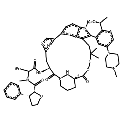 CCn1c(-c2cc(N3CCN(C)CC3)cnc2[C@H](C)OC)c2c3cc(ccc31)-c1csc(n1)C[C@H](NC(=O)C(C(C)C)N(C)C(=O)[C@@H]1OCC[C@@H]1c1ccccc1)C(=O)N1CCC[C@H](N1)C(=O)OCC(C)(C)C2